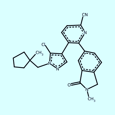 CN1Cc2ccc(-c3nc(C#N)ccc3-c3cnn(CC4(C)CCCC4)c3Cl)cc2C1=O